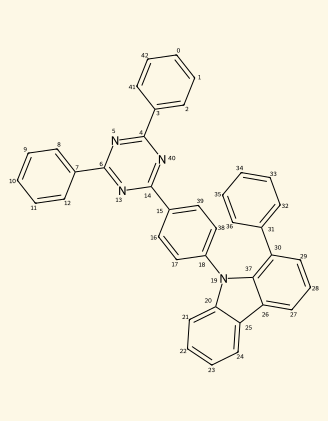 c1ccc(-c2nc(-c3ccccc3)nc(-c3ccc(-n4c5ccccc5c5cccc(-c6ccccc6)c54)cc3)n2)cc1